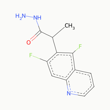 CC(C(=O)NN)c1c(F)cc2ncccc2c1F